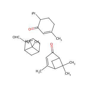 CC1(C)C2CC=C(C=O)C1C2.CC1=CC(=O)C(C(C)C)CC1.CC1=CC(=O)C2CC1C2(C)C